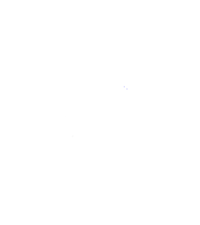 CC1CN(C)CC2C1=CC(=O)C2C